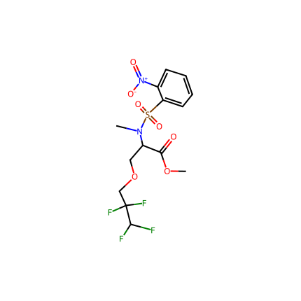 COC(=O)C(COCC(F)(F)C(F)F)N(C)S(=O)(=O)c1ccccc1[N+](=O)[O-]